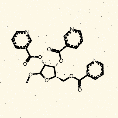 COC1O[C@H](COC(=O)c2cccnc2)[C@@H](OC(=O)c2cccnc2)[C@H]1OC(=O)c1cccnc1